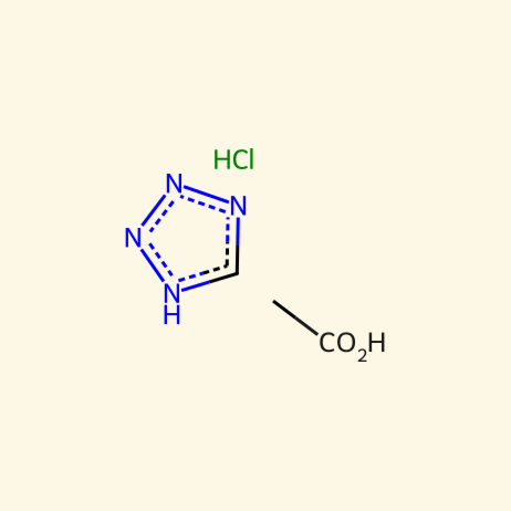 CC(=O)O.Cl.c1nnn[nH]1